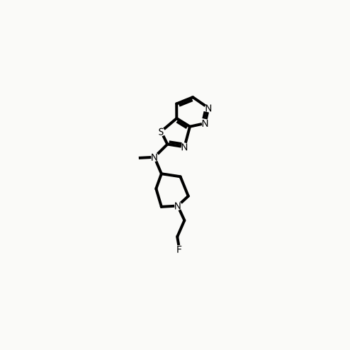 CN(c1nc2nnccc2s1)C1CCN(CCF)CC1